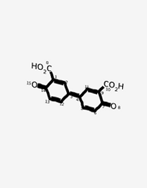 O=C(O)C1=CC(=C2C=CC(=O)C(C(=O)O)=C2)C=CC1=O